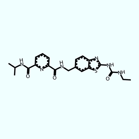 CCNC(=O)Nc1nc2ccc(CNC(=O)c3cccc(C(=O)NC(C)C)n3)cc2s1